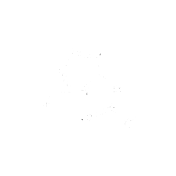 CC(C)c1ccccc1.CCC(=O)CC